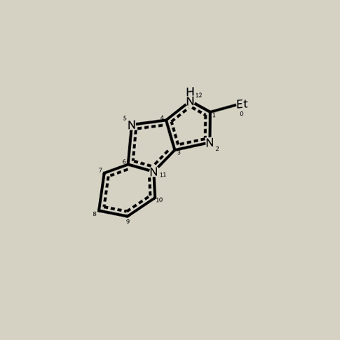 CCc1nc2c(nc3ccccn32)[nH]1